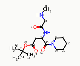 CNCC(=O)NC(CC(=O)OC(C)(C)C)C(=O)N1CCCCC1